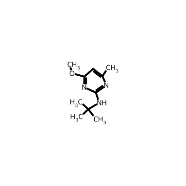 COc1cc(C)nc(NC(C)(C)C)n1